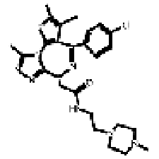 Cc1sc2c(c1C)C(c1ccc(Cl)cc1)=N[C@@H](CC(=O)NCCN1CCN(C)CC1)c1nnc(C)n1-2